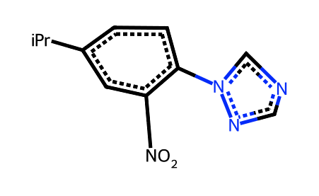 CC(C)c1ccc(-n2cncn2)c([N+](=O)[O-])c1